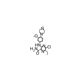 CCc1nc(C(N)=O)c(Nc2ccc(N3CCN(C)CC3)c(OC)c2)nc1Cl